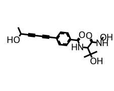 CC(O)C#CC#Cc1ccc(C(=O)NC(C(=O)NO)C(C)(C)O)cc1